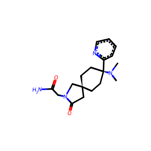 CN(C)[C@]1(c2ccccn2)CC[C@@]2(CC1)CC(=O)N(CC(N)=O)C2